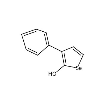 Oc1[se]ccc1-c1ccccc1